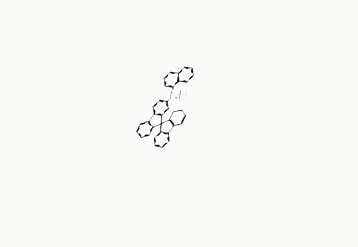 C1=CC2=C(CC1)C1(c3ccccc32)c2ccccc2-c2ccc(Nc3cccc4ccccc34)cc21